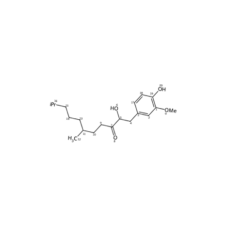 COc1cc(CC(O)C(=O)CCC(C)CCCC(C)C)ccc1O